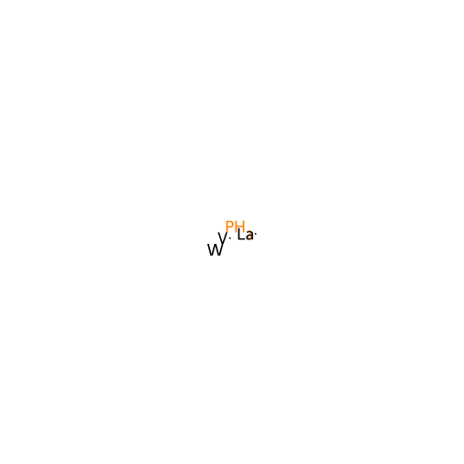 P.[La].[V].[W]